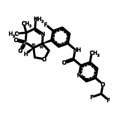 Cc1cc(OC(F)F)cnc1C(=O)Nc1ccc(F)c([C@@]23COC[C@@H]2S(=O)(=O)C(C)(C)C(N)=N3)c1